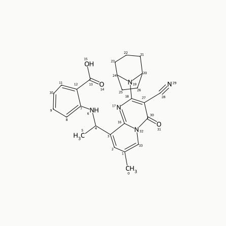 Cc1cc(C(C)Nc2ccccc2C(=O)O)c2nc(N3C4CCCC3CC4)c(C#N)c(=O)n2c1